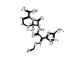 Nc1nc(/C(=N/OCF)C(=O)N[C@@H]2C(=O)N3C(C(=O)O)=CCS[C@@H]23)ns1